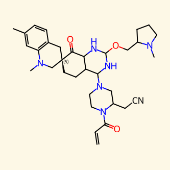 C=CC(=O)N1CCN(C2NC(OCC3CCCN3C)NC3C(=O)[C@@]4(CCC32)Cc2ccc(C)cc2N(C)C4)CC1CC#N